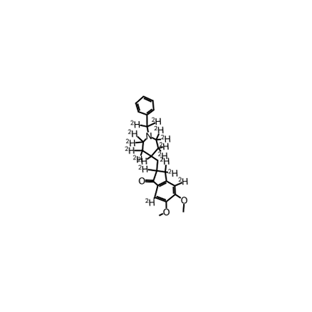 [2H]c1c(OC)c(OC)c([2H])c2c1C(=O)C([2H])(CC1([2H])C([2H])([2H])C([2H])([2H])N(C([2H])([2H])c3ccccc3)C([2H])([2H])C1([2H])[2H])C2([2H])[2H]